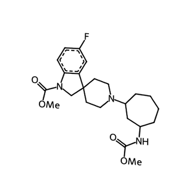 COC(=O)NC1CCCCC(N2CCC3(CC2)CN(C(=O)OC)c2ccc(F)cc23)C1